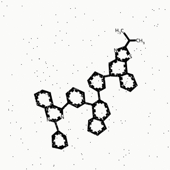 CC(C)c1nc2cc(-c3cccc(-c4ccc5ccccc5c4-c4cccc(-c5nc(-c6ccccc6)nc6ccccc56)c4)c3)c3ccccc3c2s1